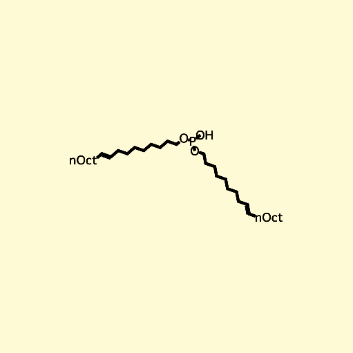 CCCCCCCCC=CCCCCCCCCOP(O)OCCCCCCCCC=CCCCCCCCC